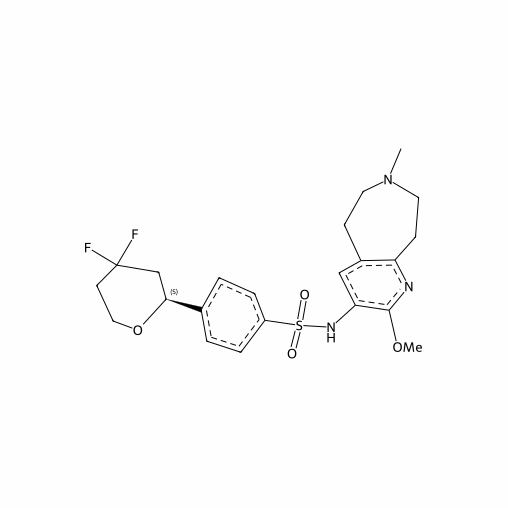 COc1nc2c(cc1NS(=O)(=O)c1ccc([C@@H]3CC(F)(F)CCO3)cc1)CCN(C)CC2